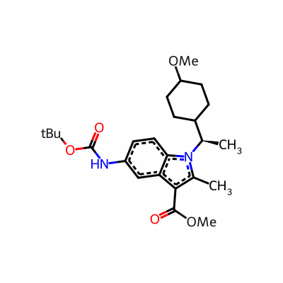 COC(=O)c1c(C)n([C@H](C)C2CCC(OC)CC2)c2ccc(NC(=O)OC(C)(C)C)cc12